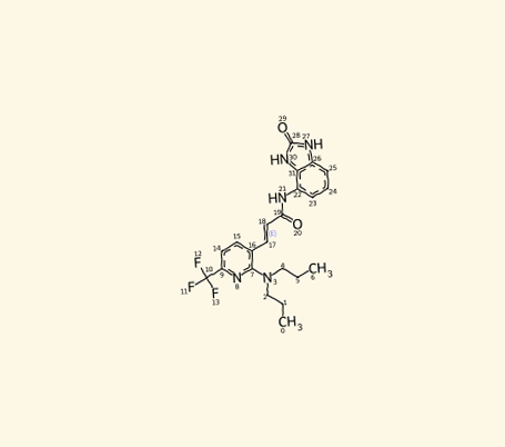 CCCN(CCC)c1nc(C(F)(F)F)ccc1/C=C/C(=O)Nc1cccc2[nH]c(=O)[nH]c12